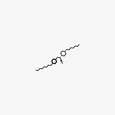 CCCCCCCCc1ccc(CC(C#N)[C@H]2CC[C@H](CCCCCCC)CC2)cc1